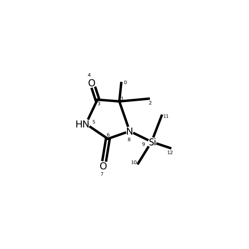 CC1(C)C(=O)NC(=O)N1[Si](C)(C)C